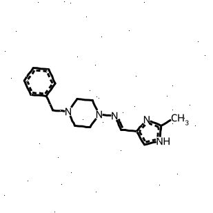 Cc1nc(/C=N/N2CCN(Cc3ccccc3)CC2)c[nH]1